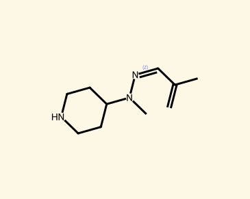 C=C(C)/C=N\N(C)C1CCNCC1